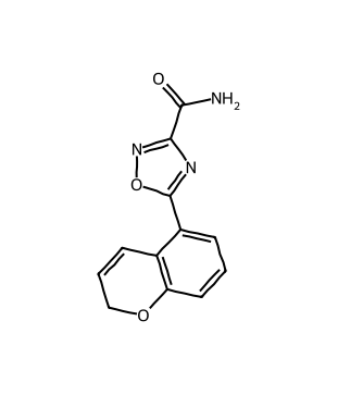 NC(=O)c1noc(-c2cccc3c2C=CCO3)n1